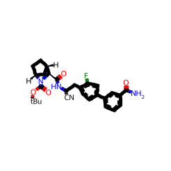 CC(C)(C)OC(=O)N1[C@@H]2CC[C@@H](C2)[C@H]1C(=O)NC(C#N)Cc1ccc(-c2cccc(C(N)=O)c2)cc1F